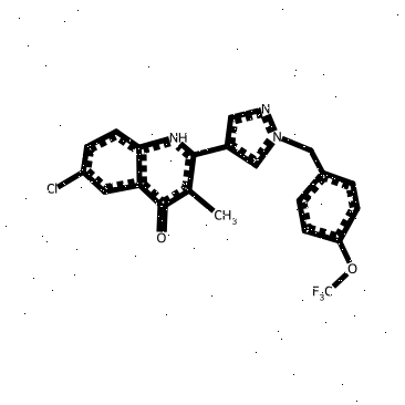 Cc1c(-c2cnn(Cc3ccc(OC(F)(F)F)cc3)c2)[nH]c2ccc(Cl)cc2c1=O